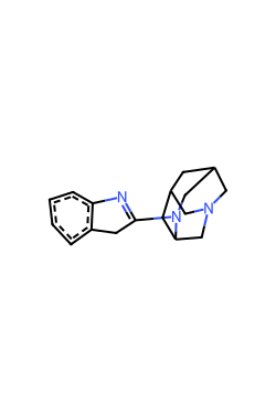 c1ccc2c(c1)CC(N1CC3CC4CC1CN(C4)C3)=N2